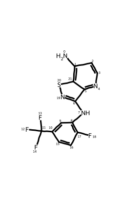 Nc1ccnc2c(Nc3cc(C(F)(F)F)ccc3F)nsc12